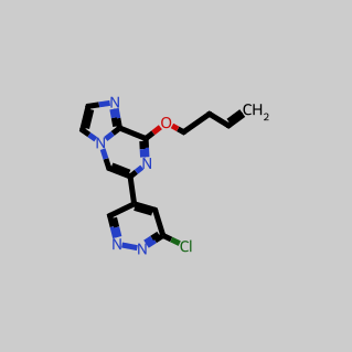 C=CCCOc1nc(-c2cnnc(Cl)c2)cn2ccnc12